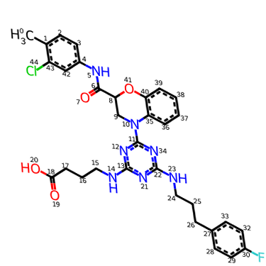 Cc1ccc(NC(=O)C2CN(c3nc(NCCCC(=O)O)nc(NCCCc4ccc(F)cc4)n3)c3ccccc3O2)cc1Cl